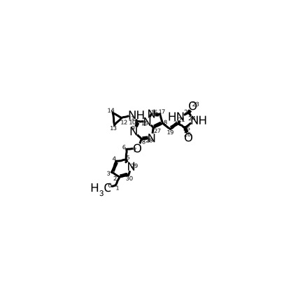 CCc1ccc(COc2nc(NC3CC3)n3ncc(C=C4NC(=O)NC4=O)c3n2)nc1